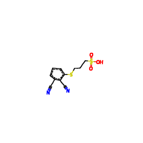 N#Cc1cccc(SCCCS(=O)(=O)O)c1C#N